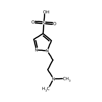 CN(C)CCn1cc(S(=O)(=O)O)cn1